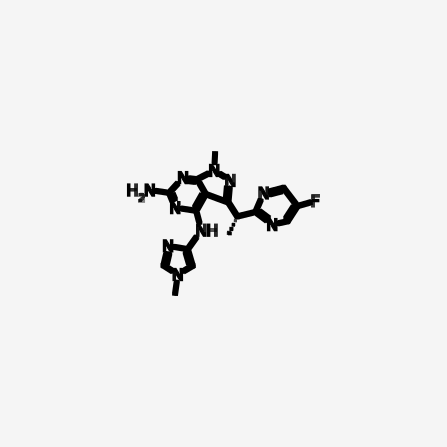 C[C@@H](c1ncc(F)cn1)c1nn(C)c2nc(N)nc(Nc3cn(C)cn3)c12